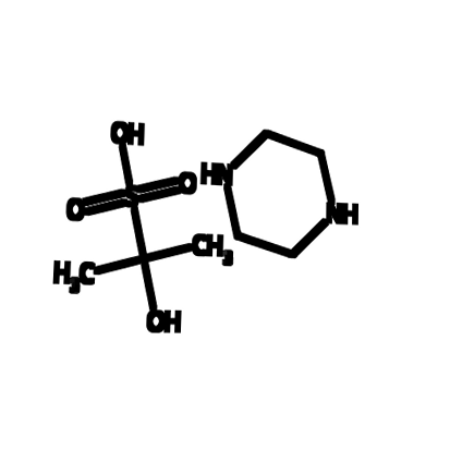 C1CNCCN1.CC(C)(O)S(=O)(=O)O